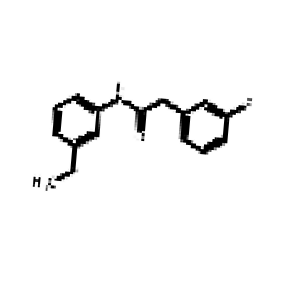 CCc1cccc(NC(=O)Cc2cccc(F)c2)c1